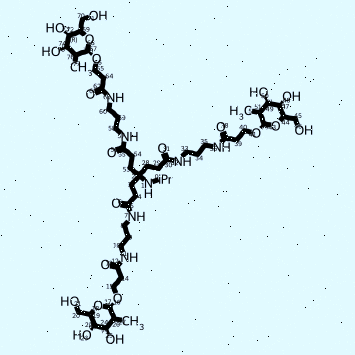 CC(C)NC(CCC(=O)NCCCNC(=O)CCO[C@@H]1OC(CO)[C@H](O)[C@H](O)C1C)(CCC(=O)NCCCNC(=O)CCO[C@@H]1OC(CO)[C@H](O)[C@H](O)C1C)CCC(=O)NCCCNC(=O)CCO[C@@H]1OC(CO)[C@H](O)[C@H](O)C1C